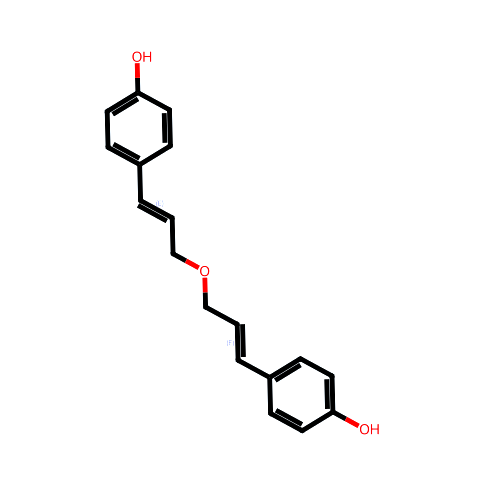 Oc1ccc(/C=C/COC/C=C/c2ccc(O)cc2)cc1